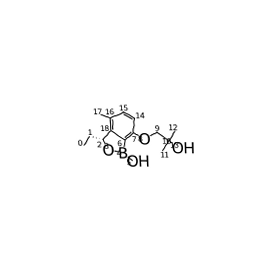 CC[C@H]1OB(O)c2c(OCC(C)(C)O)ccc(C)c21